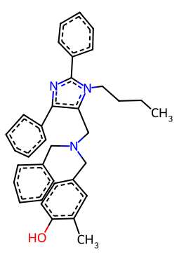 CCCCn1c(-c2ccccc2)nc(-c2ccccc2)c1CN(Cc1ccccc1)Cc1ccc(O)c(C)c1